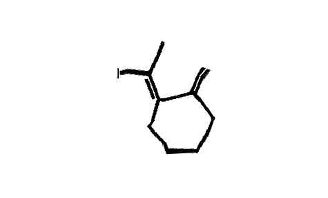 C=C1CCCC/C1=C(/C)I